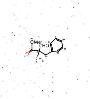 COC(=O)C(C)(C=O)Cc1ccccc1